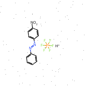 F[P-](F)(F)(F)(F)F.O=[N+]([O-])c1ccc(N=Nc2ccccc2)cc1.[H+]